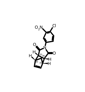 O=C1[C@@H]2[C@H](C(=O)N1c1ccc(Cl)c([N+](=O)[O-])c1)[C@@H]1C=C[C@H]2C1